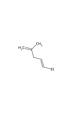 C=C(C)CC=CCC